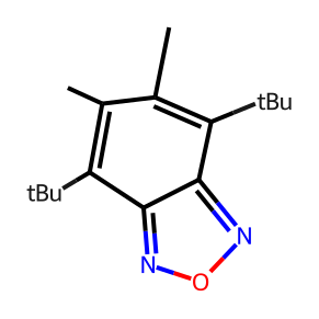 Cc1c(C)c(C(C)(C)C)c2nonc2c1C(C)(C)C